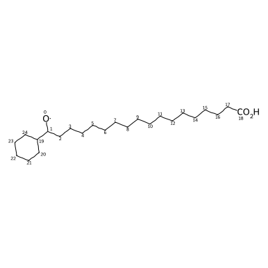 [O]C(CCCCCCCCCCCCCCCCC(=O)O)C1CCCCC1